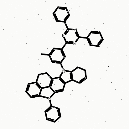 Cc1cc(-c2nc(-c3ccccc3)nc(-c3ccccc3)n2)cc(-n2c3c(c4cc5c6c(c42)CCc2cccc(c26)n5-c2ccccc2)C=CCC3)c1